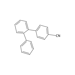 N#Cc1ccc(-c2ccccc2-c2ccccc2)cc1